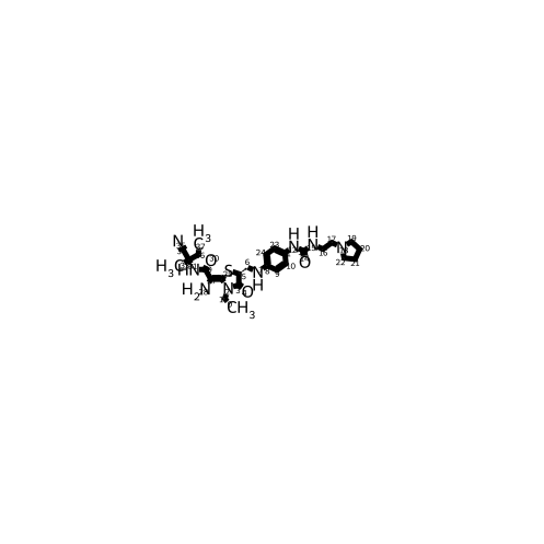 CCN1C(=O)[C@@H](CNc2ccc(NC(=O)NCCN3CCCC3)cc2)S/C1=C(/N)C(=O)NC(C)(C#N)CC